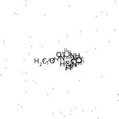 C=CCOCCC(=O)N[C@@H]1CCC[C@H](Nc2cc(C(F)(F)F)nc3ccccc23)C1